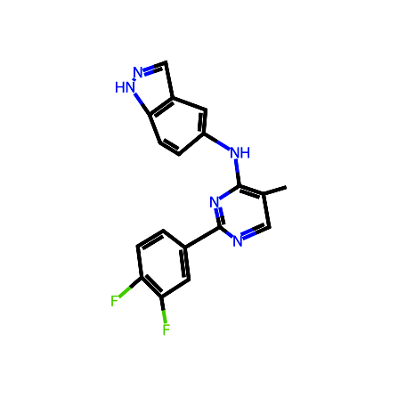 Cc1cnc(-c2ccc(F)c(F)c2)nc1Nc1ccc2[nH]ncc2c1